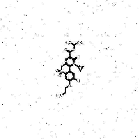 CCCOc1cc2c(cc1Cl)-c1c(cc(C(=O)OC(C)C)c(=O)n1C1CC1)CS2(=O)=O